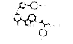 COCC(C(=O)Nc1cccc2c(-c3nc(Nc4cnn(C5CCN(C)CC5)c4)ncc3F)c[nH]c12)N1CCN(C)CC1